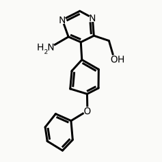 Nc1ncnc(CO)c1-c1ccc(Oc2ccccc2)cc1